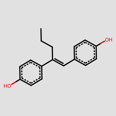 CCC/C(=C\c1ccc(O)cc1)c1ccc(O)cc1